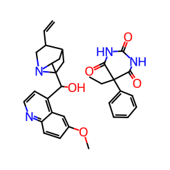 C=CC1CN2CCC1CC2C(O)c1ccnc2ccc(OC)cc12.CCC1(c2ccccc2)C(=O)NC(=O)NC1=O